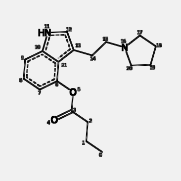 CCCC(=O)Oc1cccc2[nH]cc(CCN3CCCC3)c12